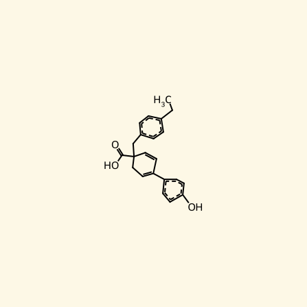 CCc1ccc(CC2(C(=O)O)C=CC(c3ccc(O)cc3)=CC2)cc1